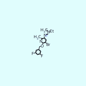 CCN(C)/C=N/c1cc(Br)c(OCc2cc(F)cc(F)c2)nc1C